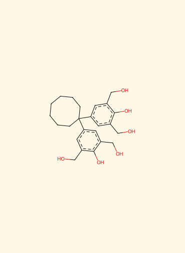 OCc1cc(C2(c3cc(CO)c(O)c(CO)c3)CCCCCCC2)cc(CO)c1O